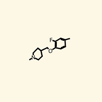 Cc1ccc(OCC2CCN(C)CC2)c(F)c1